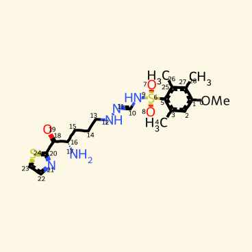 COc1cc(C)c(S(=O)(=O)NC=NNCCC[C@H](N)C(=O)c2nccs2)c(C)c1C